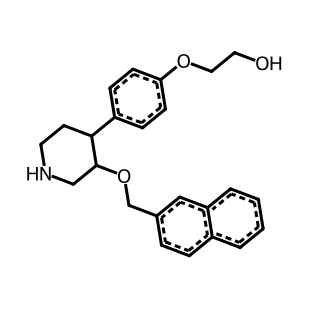 OCCOc1ccc(C2CCNCC2OCc2ccc3ccccc3c2)cc1